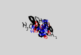 C=CCN1C(=O)C2CCCN2C12C[C@@H](C(=O)NC(CCC)C(=O)C(=O)N[C@@H](C)c1ccccc1)N(C(=O)[C@@H](NC(=O)[C@@H](NC(=O)c1cnccn1)C1CCCCC1)C(C)(C)C)C2